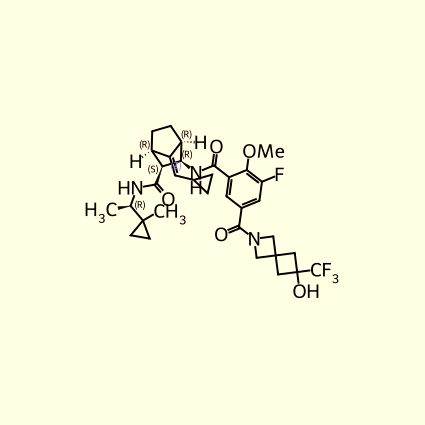 COc1c(F)cc(C(=O)N2CC3(C2)CC(O)(C(F)(F)F)C3)cc1C(=O)N[C@H]1[C@@H](C(=O)N[C@H](C)C2(C)CC2)[C@H]2CC[C@@H]1/C2=C\C1CC1